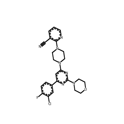 N#Cc1cccnc1N1CCN(c2cc(-c3ccc(F)c(Cl)c3)nc(N3CCOCC3)n2)CC1